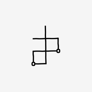 CC1(C)COC12COC2